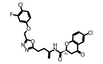 C=C(CCc1nnc(COc2ccc(Cl)c(F)c2)o1)NC(=O)[C@@H]1CC(=O)c2cc(Cl)ccc2O1